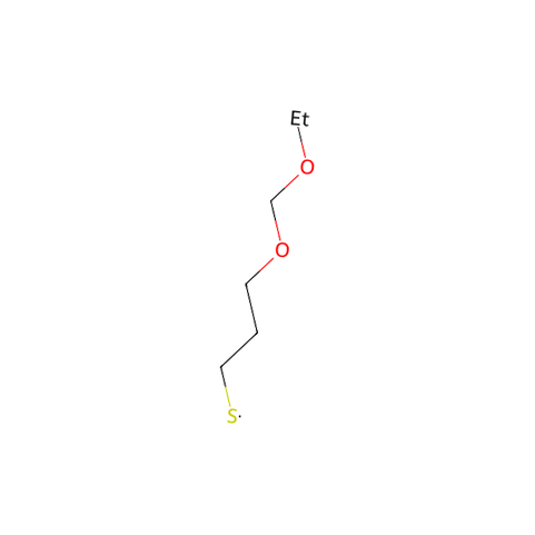 CCOCOCCC[S]